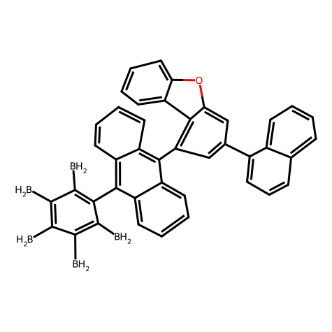 Bc1c(B)c(B)c(-c2c3ccccc3c(-c3cc(-c4cccc5ccccc45)cc4oc5ccccc5c34)c3ccccc23)c(B)c1B